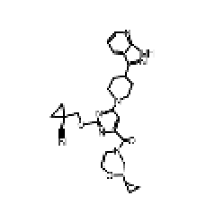 N#CC1(COc2nc(C(=O)N3CCOC(C4CC4)C3)cc(N3CCC(c4n[nH]c5ncccc45)CC3)n2)CC1